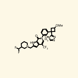 COC1CC(c2cccc(-n3cc(C(F)(F)F)c4cc(CN5CCCC(C(F)F)C5)[nH]c4c3=O)c2)(c2nncn2C)C1